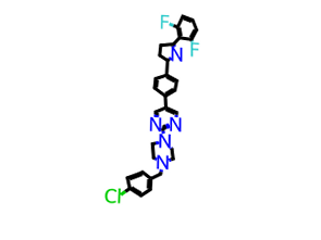 Fc1cccc(F)c1C1=NC(c2ccc(-c3cnc(N4CCN(Cc5ccc(Cl)cc5)CC4)nc3)cc2)CC1